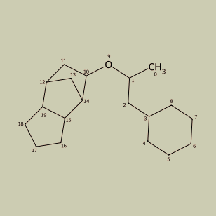 CC(CC1CCCCC1)OC1CC2CC1C1CCCC21